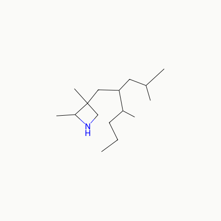 CCCC(C)C(CC(C)C)CC1(C)CNC1C